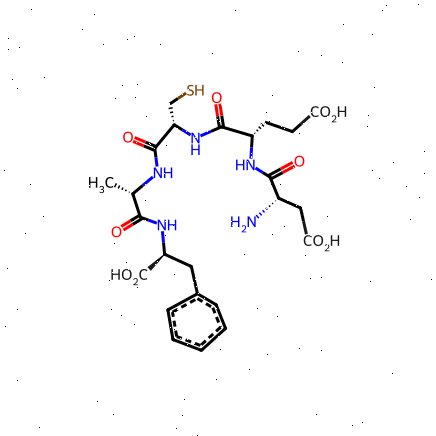 C[C@H](NC(=O)[C@H](CS)NC(=O)[C@H](CCC(=O)O)NC(=O)[C@@H](N)CC(=O)O)C(=O)N[C@@H](Cc1ccccc1)C(=O)O